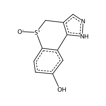 [O-][S+]1Cc2cn[nH]c2-c2cc(O)ccc21